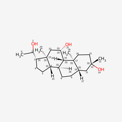 CC(O)[C@H]1CC[C@H]2[C@@H]3CC[C@H]4C[C@@](C)(O)CC[C@]4(C)[C@H]3[C@@H](O)C[C@]12C